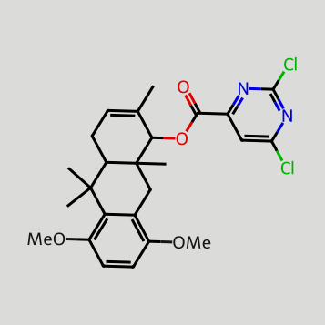 COc1ccc(OC)c2c1CC1(C)C(OC(=O)c3cc(Cl)nc(Cl)n3)C(C)=CCC1C2(C)C